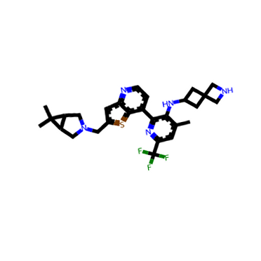 Cc1cc(C(F)(F)F)nc(-c2ccnc3cc(CN4CC5C(C4)C5(C)C)sc23)c1NC1CC2(CNC2)C1